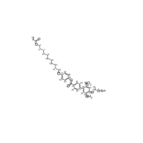 C=CC(=O)OCCCCCCCCCCCOc1ccc(OC(=O)c2ccc(-c3cc(N)c(OC(C)CCCCCC)cc3[N+](=O)[O-])cc2)cc1